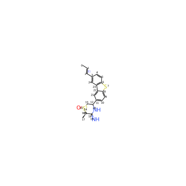 C/C=C/c1ccc2sc3ccc(C4C[S+]([O-])[C@H](C)C(=N)N4)cc3c2c1